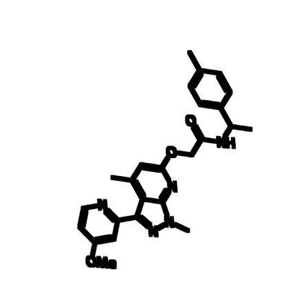 COc1ccnc(-c2nn(C)c3nc(OCC(=O)NC(C)c4ccc(C)cc4)cc(C)c23)c1